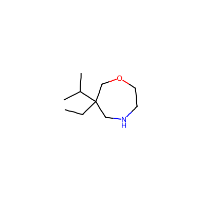 CCC1(C(C)C)CNCCOC1